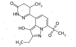 CCc1nn2c(S(C)(=O)=O)ccc(C3=NNC(=O)CC3C)c2c1O